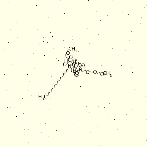 CCCCCCCCCCCCCCCCN1C(=O)[C@@H]2C(/C=C\OCC)OC(/C=C\C3OC(/C=C\c4ccccc4)[C@@H]4C(=O)N(CCOCCOCCOC)C(=O)[C@H]34)[C@@H]2C1=O